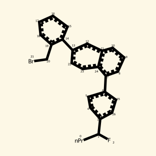 CCCC(F)c1ccc(-c2cccc3cc(-c4ccccc4CBr)ccc23)cc1